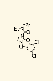 CCCN(CC)C(=O)n1ccnc1Oc1c(Cl)cc(Cl)cc1Cl